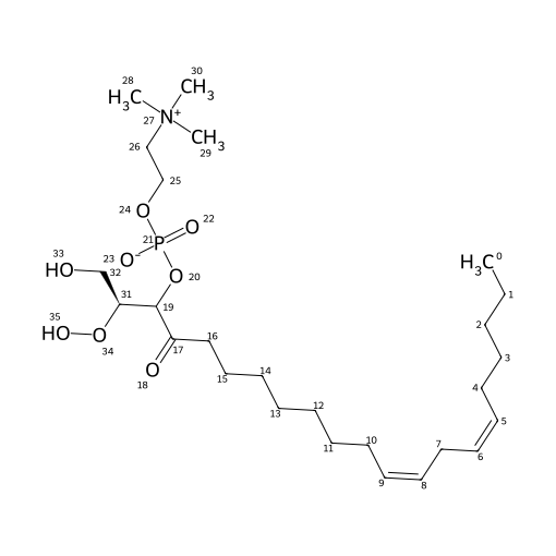 CCCCC/C=C\C/C=C\CCCCCCCC(=O)C(OP(=O)([O-])OCC[N+](C)(C)C)[C@H](CO)OO